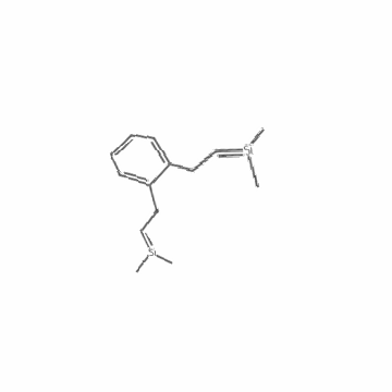 C[Si](C)=CCc1ccccc1CC=[Si](C)C